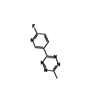 Cc1nnc(-c2ccc(F)nc2)nn1